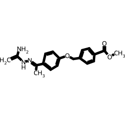 C=C(N)N/N=C(\C)c1ccc(OCc2ccc(C(=O)OC)cc2)cc1